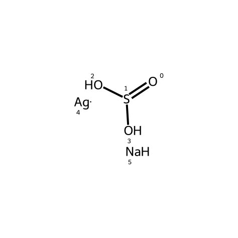 O=S(O)O.[Ag].[NaH]